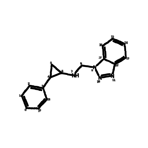 c1ccc(C2CC2NCn2nnc3ccccc32)cc1